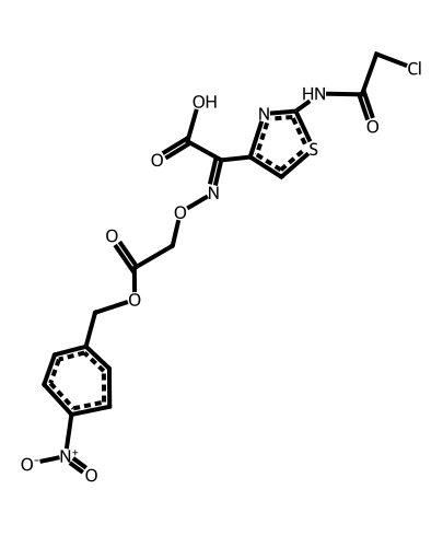 O=C(CCl)Nc1nc(C(=NOCC(=O)OCc2ccc([N+](=O)[O-])cc2)C(=O)O)cs1